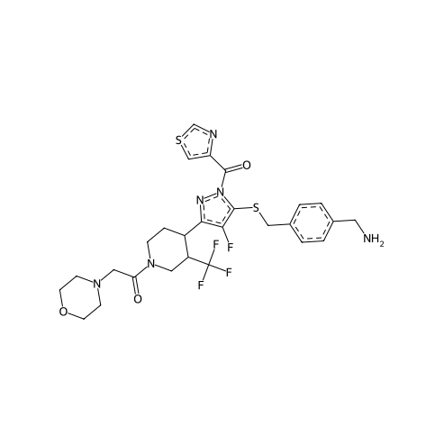 NCc1ccc(CSc2c(F)c(C3CCN(C(=O)CN4CCOCC4)CC3C(F)(F)F)nn2C(=O)c2cscn2)cc1